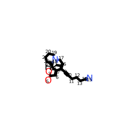 CC[C@]12OC(=O)C=C1C(C#CCCCC#N)=CCN1CCCC[C@@H]12